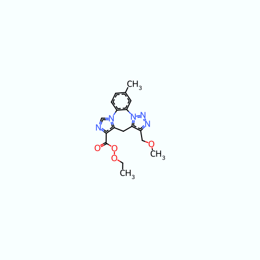 CCOOC(=O)c1ncn2c1Cc1c(COC)nnn1-c1cc(C)ccc1-2